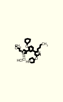 CCCCc1nnc(OC2CCNCC2)cc1-c1ccc(OC2CCCCC2)c(-c2cnn(CCOC)c2)c1.Cl.Cl